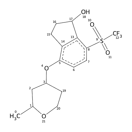 CC1CC(Oc2ccc(S(=O)(=O)C(F)(F)F)c3c2CCC3O)CCO1